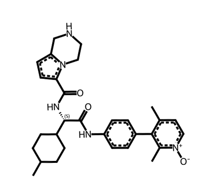 Cc1cc[n+]([O-])c(C)c1-c1ccc(NC(=O)[C@@H](NC(=O)c2ccc3n2CCNC3)C2CCC(C)CC2)cc1